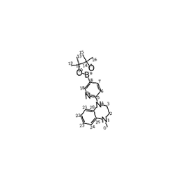 CN1CCN(c2ccc(B3OC(C)(C)C(C)(C)O3)cn2)c2ccccc21